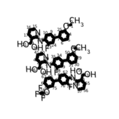 CCOc1cccc(-c2ccc(Nc3ncccc3C(=O)O)c(F)c2)c1.COc1cccc(-c2ccc(Nc3ncccc3C(=O)O)c(F)c2)c1.O=C(O)c1cccnc1Nc1ccc(-c2cccc(OC(F)(F)F)c2)cc1F